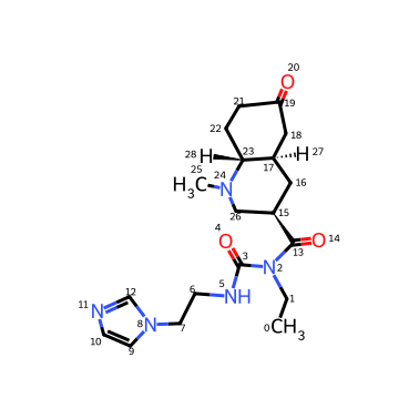 CCN(C(=O)NCCn1ccnc1)C(=O)[C@@H]1C[C@@H]2CC(=O)CC[C@H]2N(C)C1